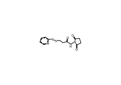 O=C(CCSSc1ccccn1)NN1C(=O)CCC1=O